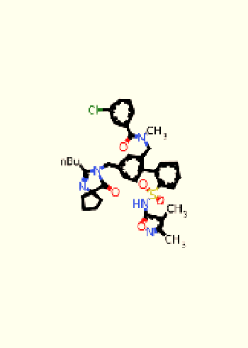 CCCCC1=NC2(CCCC2)C(=O)N1Cc1ccc(-c2ccccc2S(=O)(=O)Nc2onc(C)c2C)c(CN(C)C(=O)c2cccc(Cl)c2)c1